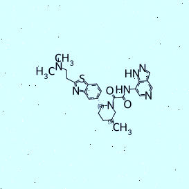 C[C@H]1CC[C@H](c2ccc3sc(CCN(C)C)nc3c2)N(C(=O)C(=O)Nc2cncc3cn[nH]c23)C1